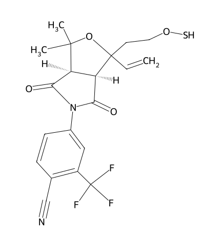 C=CC1(CCOS)OC(C)(C)[C@@H]2C(=O)N(c3ccc(C#N)c(C(F)(F)F)c3)C(=O)[C@@H]21